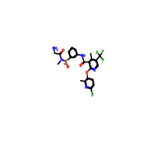 Cc1nc(F)ccc1Oc1ncc(C(F)(F)F)c(C)c1C(=O)Nc1cccc([S@@+]([O-])N(C)C(=O)CN)c1